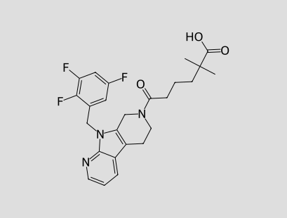 CC(C)(CCCC(=O)N1CCc2c(n(Cc3cc(F)cc(F)c3F)c3ncccc23)C1)C(=O)O